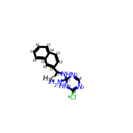 CC(NC1(N)N=CN=C(Cl)N1)c1ccc2ccccc2c1